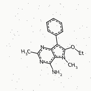 CCOc1c(-c2ccccc2)c2nc(C)nc(N)c2n1C